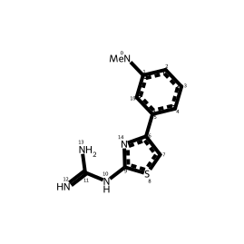 CNc1cccc(-c2csc(NC(=N)N)n2)c1